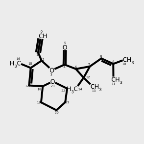 C#CC(OC(=O)C1C(C=C(C)C)C1(C)C)C(C)=CC1CCCCO1